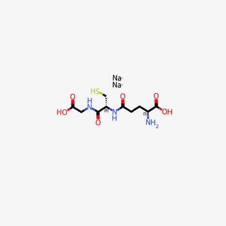 N[C@@H](CCC(=O)N[C@@H](CS)C(=O)NCC(=O)O)C(=O)O.[Na].[Na]